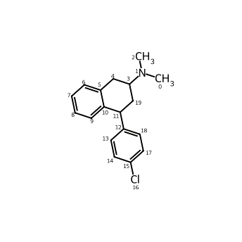 CN(C)C1Cc2ccccc2C(c2ccc(Cl)cc2)C1